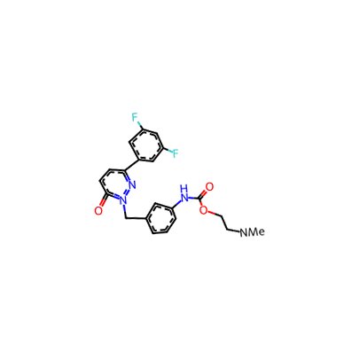 CNCCOC(=O)Nc1cccc(Cn2nc(-c3cc(F)cc(F)c3)ccc2=O)c1